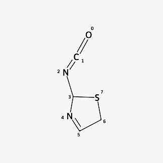 O=C=NC1N=CCS1